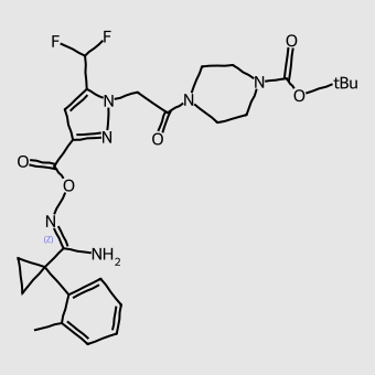 Cc1ccccc1C1(/C(N)=N/OC(=O)c2cc(C(F)F)n(CC(=O)N3CCN(C(=O)OC(C)(C)C)CC3)n2)CC1